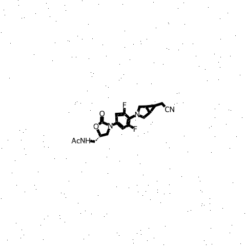 CC(=O)NC[C@H]1CN(c2cc(F)c(N3CC4C(CC#N)C4C3)c(F)c2)C(=O)O1